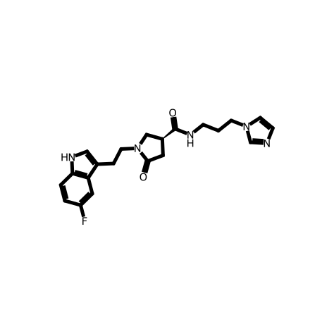 O=C(NCCCn1ccnc1)[C@H]1CC(=O)N(CCc2c[nH]c3ccc(F)cc23)C1